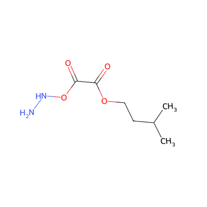 CC(C)CCOC(=O)C(=O)ONN